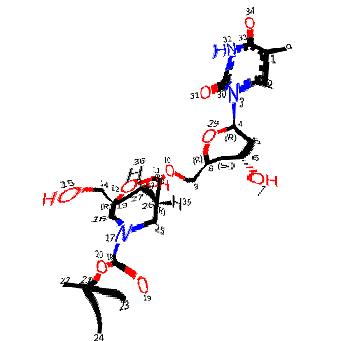 Cc1cn([C@H]2C[C@H](O)[C@@H](CO[C@@H]3O[C@@]4(CO)CN(C(=O)OC(C)(C)C)C[C@@H]3[C@@H]4O)O2)c(=O)[nH]c1=O